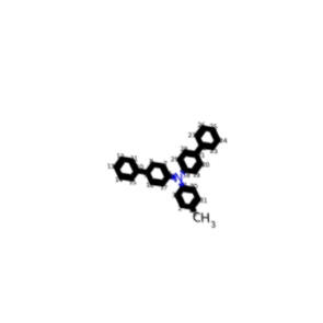 Cc1ccc(N(C2=CCC(c3ccccc3)C=C2)c2ccc(-c3ccccc3)cc2)cc1